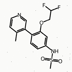 Cc1ccncc1-c1ccc(NS(C)(=O)=O)cc1OCC(F)F